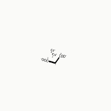 O=C([O-])CC(=O)[O-].[Cs+].[Cs+]